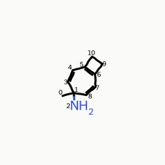 CC1(N)C=CC2=C(C=C1)CC2